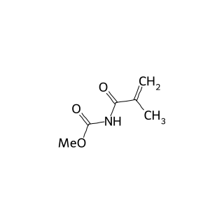 C=C(C)C(=O)NC(=O)OC